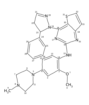 COc1cc(N2CCN(C)CC2)ccc1Nc1nc(N2N=CCC2c2ccccc2)c2sccc2n1